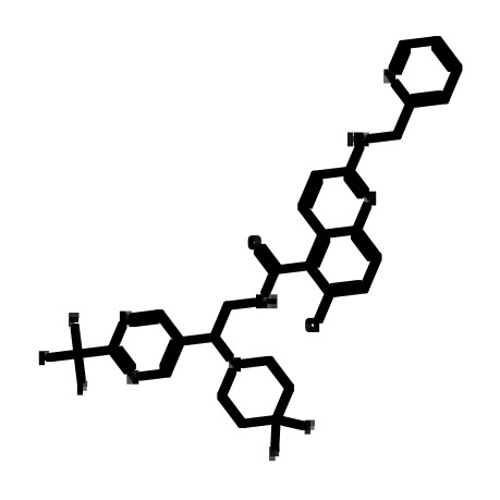 O=C(NCC(c1cnc(C(F)(F)F)nc1)N1CCC(F)(F)CC1)c1c(Cl)ccc2nc(NCc3ccccn3)ccc12